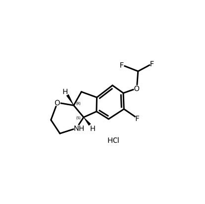 Cl.Fc1cc2c(cc1OC(F)F)C[C@H]1OCCN[C@@H]21